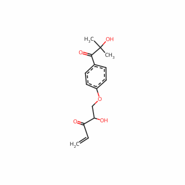 C=CC(=O)C(O)COc1ccc(C(=O)C(C)(C)O)cc1